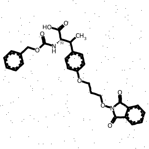 CC(c1ccc(OCCCON2C(=O)c3ccccc3C2=O)cc1)[C@H](NC(=O)OCc1ccccc1)C(=O)O